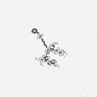 CC(C)(C)OC(=O)N[C@@H](CC(=O)O)C(=O)NP(=O)(OCCCCCCNC(=O)OCc1ccccc1)OC[C@H]1O[C@@H](n2cnc3c(N)ncnc32)[C@@H]2OC(C)(C)O[C@@H]21